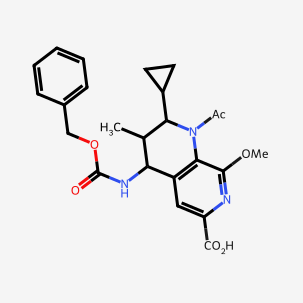 COc1nc(C(=O)O)cc2c1N(C(C)=O)C(C1CC1)C(C)C2NC(=O)OCc1ccccc1